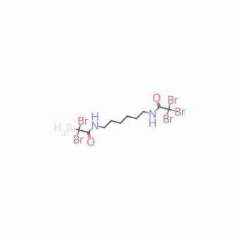 BC(Br)(Br)C(=O)NCCCCCCNC(=O)C(Br)(Br)Br